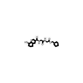 O=C(CNC(=O)c1cnc2c(S)cccc2c1)NCC(=O)OCc1ccccc1